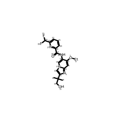 CCOc1cc2nc(C(C)(C)CO)cn2cc1NC(=O)c1cccc(C(F)F)n1